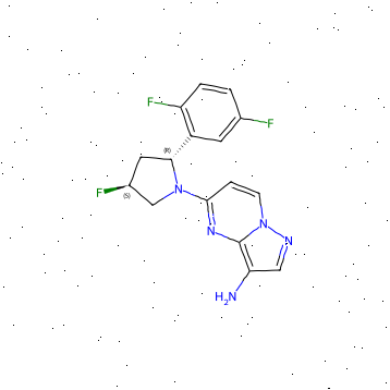 Nc1cnn2ccc(N3C[C@@H](F)C[C@@H]3c3cc(F)ccc3F)nc12